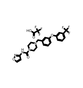 O=C(Nc1ccon1)N1CCN(Cc2cccc(Oc3cccc(C(F)(F)F)c3)c2)CC1.O=C(O)C(F)(F)F